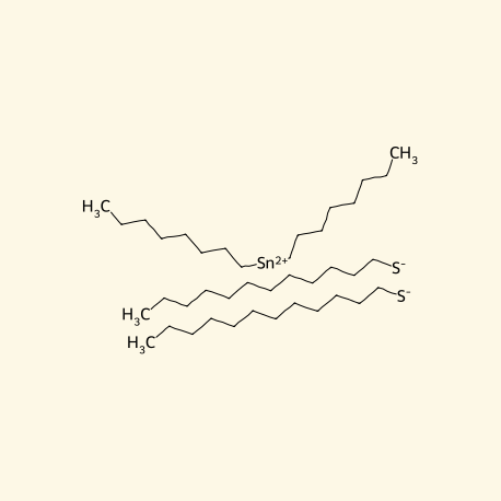 CCCCCCCCCCCC[S-].CCCCCCCCCCCC[S-].CCCCCCC[CH2][Sn+2][CH2]CCCCCCC